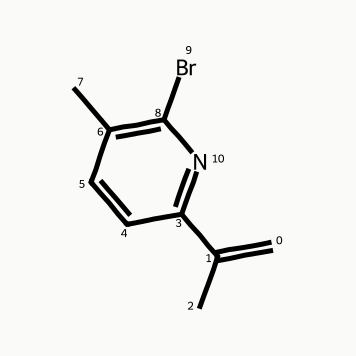 C=C(C)c1ccc(C)c(Br)n1